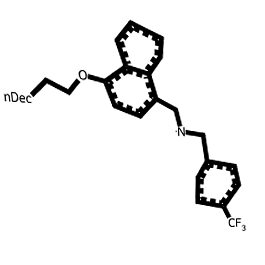 CCCCCCCCCCCCOc1ccc(C[N]Cc2ccc(C(F)(F)F)cc2)c2ccccc12